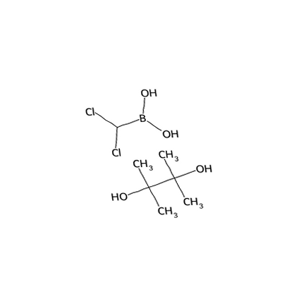 CC(C)(O)C(C)(C)O.OB(O)C(Cl)Cl